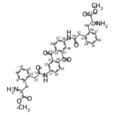 COC(=O)[C@@H](N)Cc1ccccc1CC(=O)Nc1ccc2c(c1)C(=O)c1ccc(NC(=O)Cc3ccccc3C[C@H](N)C(=O)OC)cc1C2=O